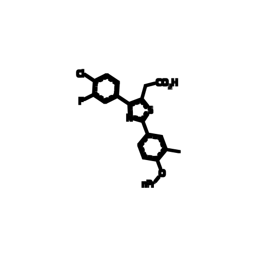 CCCOc1ccc(-c2nc(-c3ccc(Cl)c(F)c3)c(CC(=O)O)s2)cc1C